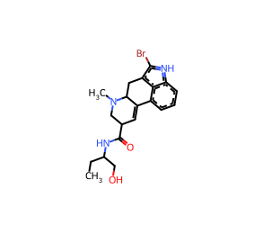 CCC(CO)NC(=O)C1C=C2c3cccc4[nH]c(Br)c(c34)CC2N(C)C1